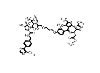 COC(=O)C[C@@H]1N=C(c2ccc(OCCCOCC(=O)N[C@H](C(=O)N3C[C@H](O)C[C@H]3C(=O)NCc3ccc(-c4scnc4C)cc3)C(C)(C)C)cc2)c2c(sc(C)c2C)-n2c(C)nnc21